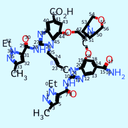 CCn1nc(C)cc1C(=O)Nc1nc2cc(C(N)=O)cc3c2n1C/C=C/Cn1c(NC(=O)c2cc(C)nn2CC)nc2cc(C(=O)O)cc(c21)OC[C@@H](N1C2CCC1COC2)CO3